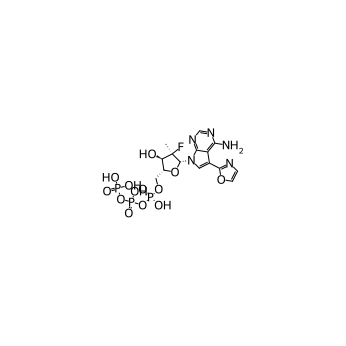 C[C@@]1(F)[C@H](O)[C@@H](COP(=O)(O)OP(=O)(O)OP(=O)(O)O)O[C@H]1n1cc(-c2ncco2)c2c(N)ncnc21